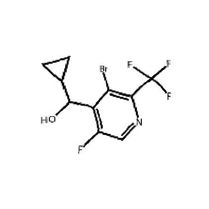 OC(c1c(F)cnc(C(F)(F)F)c1Br)C1CC1